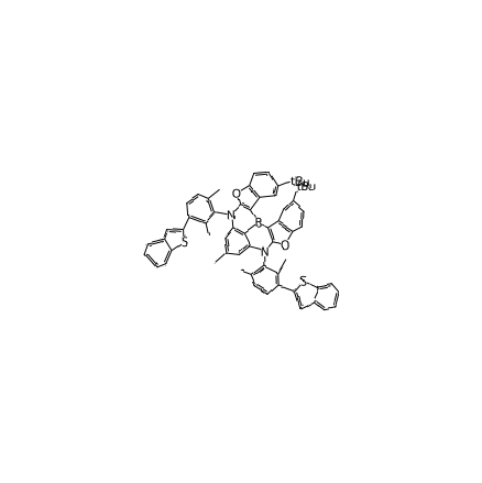 Cc1cc2c3c(c1)N(c1c(C)ccc(-c4cc5ccccc5s4)c1C)c1oc4ccc(C(C)(C)C)cc4c1B3c1c(oc3ccc(C(C)(C)C)cc13)N2c1c(C)ccc(-c2cc3ccccc3s2)c1C